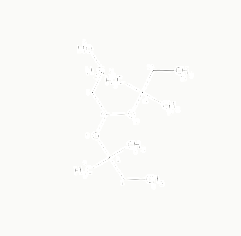 CCC(C)(C)OC(C[SiH2]O)OC(C)(C)CC